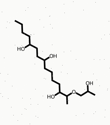 CCCCC(O)CCC(O)CCCCC(O)C(C)OCC(C)O